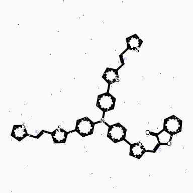 O=C1/C(=C\c2ccc(-c3ccc(N(c4ccc(-c5ccc(/C=C/c6cccs6)s5)cc4)c4ccc(-c5ccc(/C=C/c6cccs6)s5)cc4)cc3)s2)Oc2ccccc21